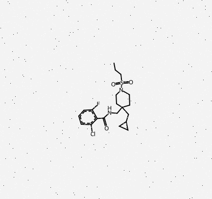 CCCS(=O)(=O)N1CCC(CNC(=O)c2c(F)cccc2Cl)(CC2CC2)CC1